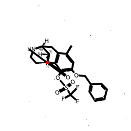 Cc1cc(OCc2ccccc2)c(OS(=O)(=O)C(F)(F)F)c2c1C[C@H]1NCC[C@@]23CC(=O)CC[C@@H]13